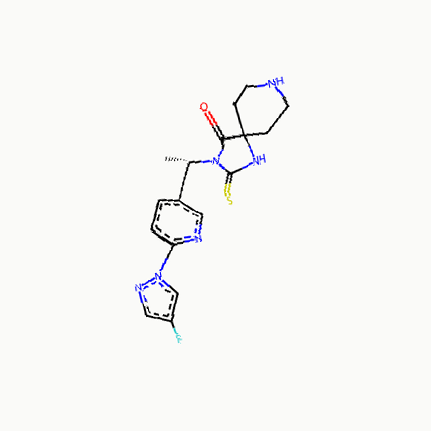 C[C@@H](c1ccc(-n2cc(F)cn2)nc1)N1C(=O)C2(CCNCC2)NC1=S